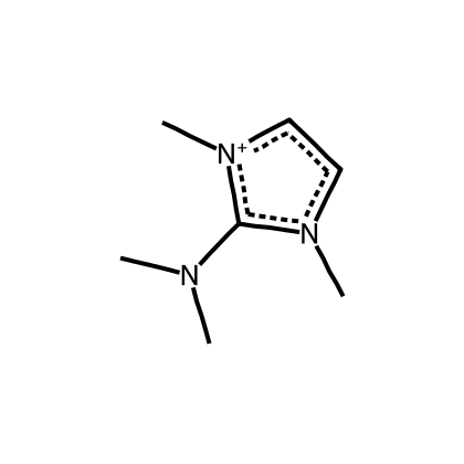 CN(C)c1n(C)cc[n+]1C